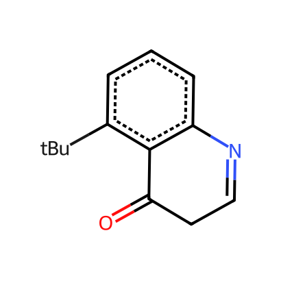 CC(C)(C)c1cccc2c1C(=O)CC=N2